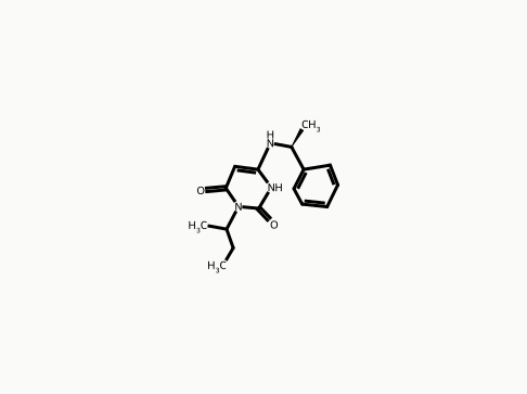 CCC(C)n1c(=O)cc(N[C@@H](C)c2ccccc2)[nH]c1=O